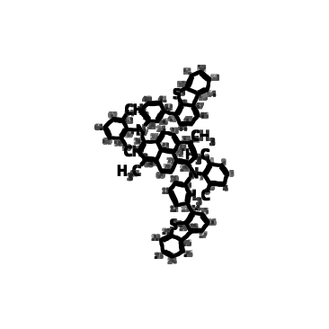 Cc1cccc(C)c1N(c1cccc(-c2cccc3c2sc2ccccc23)c1)c1cc(C)c2ccc3c(N(c4cccc(-c5cccc6c5sc5ccccc56)c4)c4c(C)cccc4C)cc(C)c4ccc1c2c43